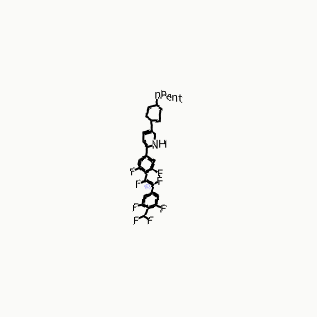 CCCCCC1CCC(C2=CC=C(c3cc(F)c(/C(F)=C(\F)c4cc(F)c(C(F)F)c(F)c4)c(F)c3)NC2)CC1